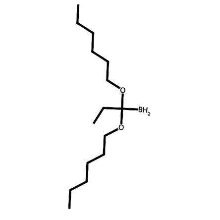 BC(CC)(OCCCCCC)OCCCCCC